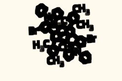 Cc1cc(C)c(-c2cc3c4c(cc5c(-c6c(C)cc(C)cc6C)cc6c7c(cc2c4c57)B2c4ccccc4N(c4ccccc4)c4cc(Br)cc-6c42)B2c4ccccc4N(c4ccccc4)c4cc(Br)cc-3c42)c(C)c1